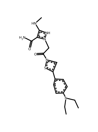 CCN(CC)c1ccc(-c2cn(C(=O)Cn3[nH]c(NC)c3C(N)=O)s2)cc1